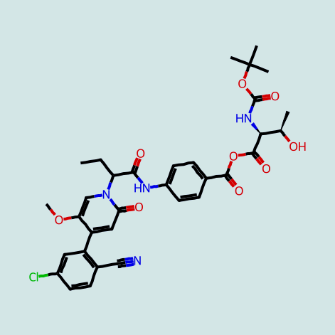 CCC(C(=O)Nc1ccc(C(=O)OC(=O)[C@@H](NC(=O)OC(C)(C)C)[C@@H](C)O)cc1)n1cc(OC)c(-c2cc(Cl)ccc2C#N)cc1=O